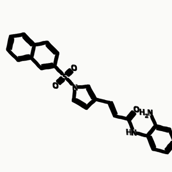 Nc1ccccc1NC(=O)/C=C/c1ccn(S(=O)(=O)c2ccc3ccccc3c2)c1